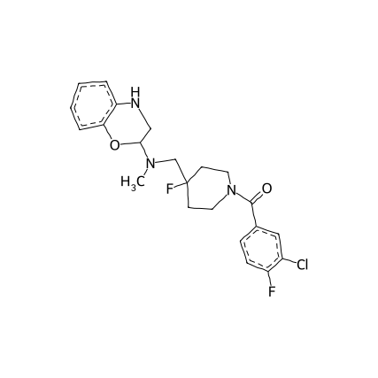 CN(CC1(F)CCN(C(=O)c2ccc(F)c(Cl)c2)CC1)C1CNc2ccccc2O1